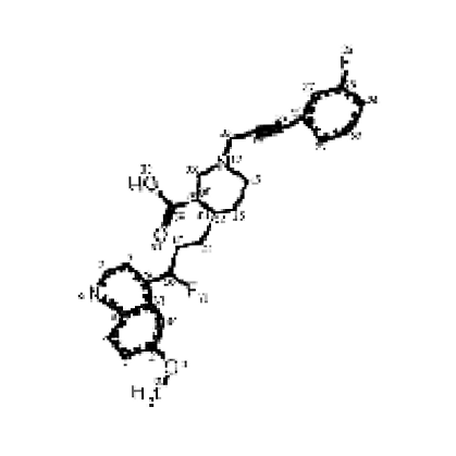 COc1ccc2nccc(C(F)CC[C@@H]3CCN(CC#Cc4cccc(F)c4)C[C@@H]3C(=O)O)c2c1